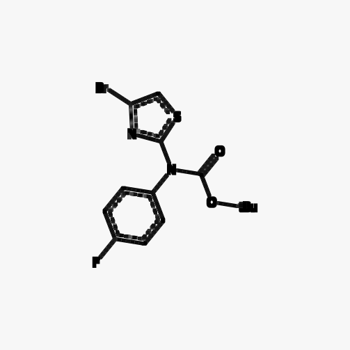 CC(C)(C)OC(=O)N(c1ccc(F)cc1)c1nc(Br)cs1